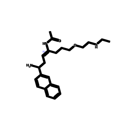 CCNCCOCCC/C(=C\CC(N)c1ccc2ccccc2c1)NC(C)=O